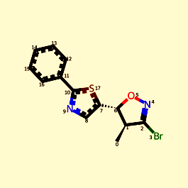 C[C@@H]1C(Br)=NO[C@H]1c1cnc(-c2ccccc2)s1